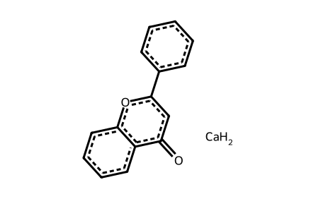 O=c1cc(-c2ccccc2)oc2ccccc12.[CaH2]